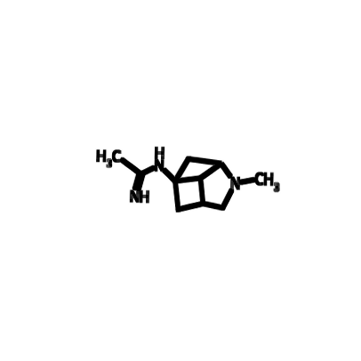 CC(=N)NC12CC3CN(C)C(C1)C32